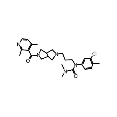 Cc1ccc(N(CCCN2CC3CN(C(=O)c4c(C)ccnc4C)CC3C2)C(=O)N(C)C)cc1Cl